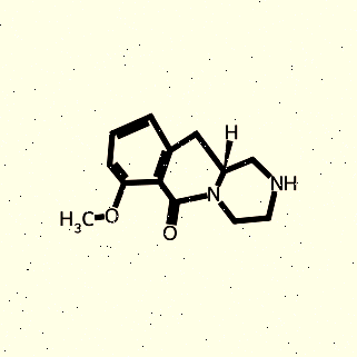 COc1cccc2c1C(=O)N1CCNC[C@H]1C2